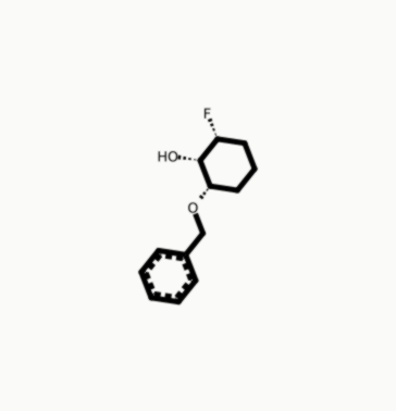 O[C@@H]1[C@H](F)CCC[C@@H]1OCc1ccccc1